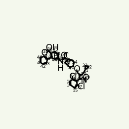 C[C@@H]1CC2C[C@H](OCc3c(-c4c(Cl)cccc4Cl)noc3C3CC3)CC1N2C(=O)Nc1ccc(C(=O)O)c(-c2ccccc2)c1